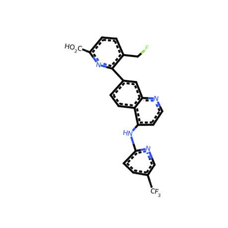 O=C(O)c1ccc(CF)c(-c2ccc3c(Nc4ccc(C(F)(F)F)cn4)ccnc3c2)n1